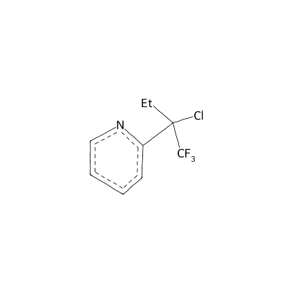 CCC(Cl)(c1ccccn1)C(F)(F)F